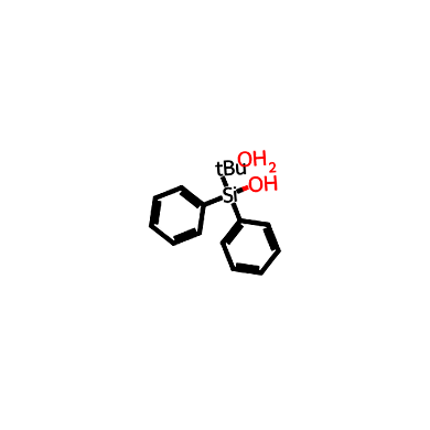 CC(C)(C)[Si](O)(c1ccccc1)c1ccccc1.O